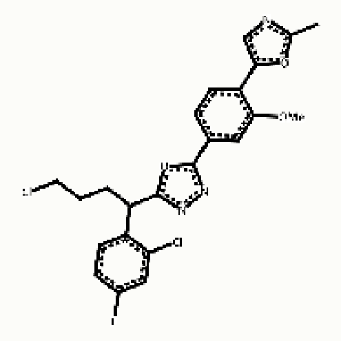 COc1cc(-c2nnc(C(CCCCl)c3ccc(F)cc3Cl)o2)ccc1-c1cnc(C)o1